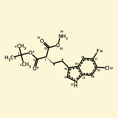 CC(C)(C)OC(=O)[C@@H](CCc1c[nH]c2cc(Cl)c(F)cc12)C(=O)ON